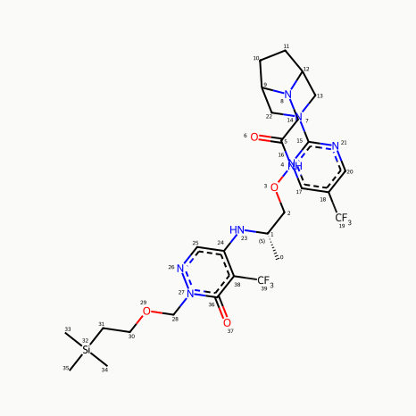 C[C@@H](CONC(=O)CN1C2CCC1CN(c1ncc(C(F)(F)F)cn1)C2)Nc1cnn(COCC[Si](C)(C)C)c(=O)c1C(F)(F)F